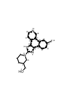 OCC1CCCN(c2nc3c4ccc(F)cc4c4cnccc4c3s2)C1